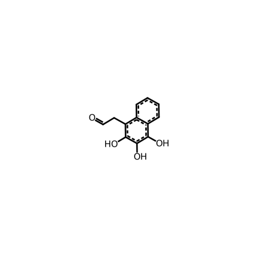 O=CCc1c(O)c(O)c(O)c2ccccc12